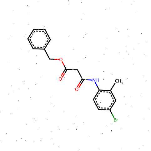 Cc1cc(Br)ccc1NC(=O)CC(=O)OCc1ccccc1